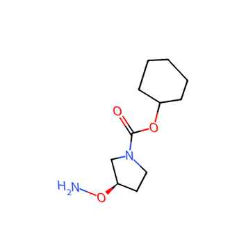 NO[C@@H]1CCN(C(=O)OC2CCCCC2)C1